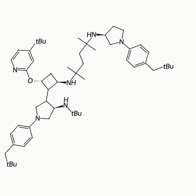 CC(C)(C)Cc1ccc(N2CC[C@H](NC(C)(C)CCC(C)(C)N[C@@H]3C[C@@H](Oc4cc(C(C)(C)C)ccn4)C3C3CN(c4ccc(CC(C)(C)C)cc4)C[C@@H]3NC(C)(C)C)C2)cc1